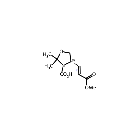 COC(=O)/C=C/[C@H]1COC(C)(C)N1C(=O)O